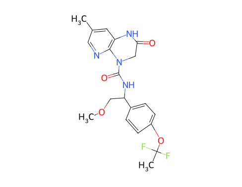 COCC(NC(=O)N1CC(=O)Nc2cc(C)cnc21)c1ccc(OC(C)(F)F)cc1